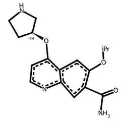 CC(C)Oc1cc2c(O[C@H]3CCNC3)ccnc2cc1C(N)=O